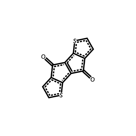 O=c1c2c3sccc3c(=O)c=2c2sccc12